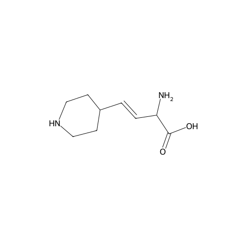 NC(/C=C/C1CCNCC1)C(=O)O